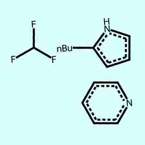 CCCCc1ccc[nH]1.FC(F)F.c1ccncc1